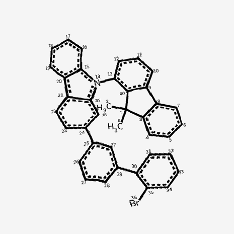 CC1(C)c2ccccc2-c2cccc(-n3c4ccccc4c4ccc(-c5cccc(-c6ccccc6Br)c5)cc43)c21